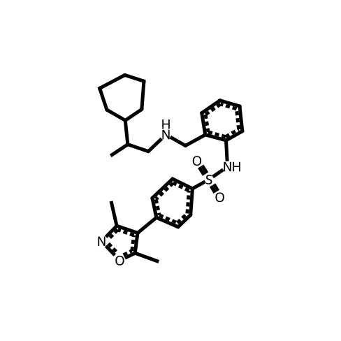 Cc1noc(C)c1-c1ccc(S(=O)(=O)Nc2ccccc2CNCC(C)C2CCCCC2)cc1